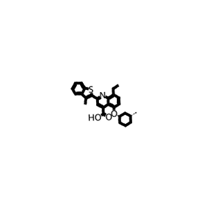 CCc1ccc(O[C@H]2CCC[C@@H](C)C2)c2c(C(=O)O)cc(-c3sc4ccccc4c3C)nc12